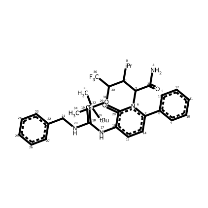 CC(C)C(C(C(N)=O)n1c(-c2ccccc2)ccc(NC(=O)NCc2ccccc2)c1=O)C(O[Si](C)(C)C(C)(C)C)C(F)(F)F